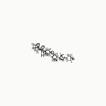 CN1CCC(c2ccc(-c3cc(Oc4ccc(NC(=O)N5CCC6(CCC6)C5=O)nc4)ccn3)cc2)CC1